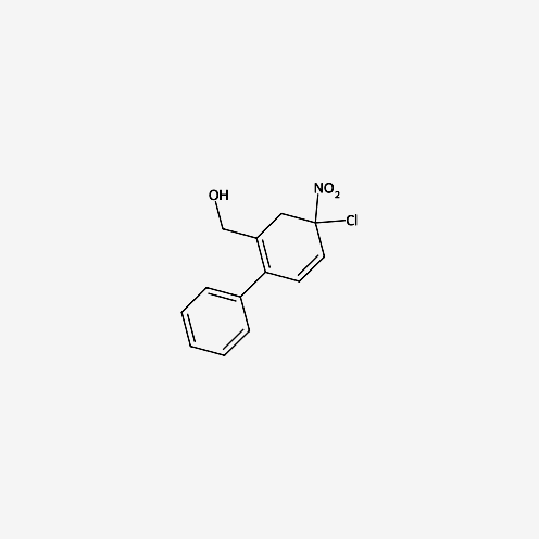 O=[N+]([O-])C1(Cl)C=CC(c2ccccc2)=C(CO)C1